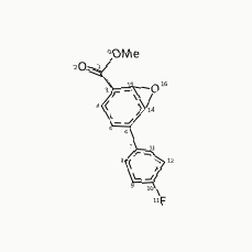 COC(=O)c1ccc(-c2ccc(F)cc2)c2c1O2